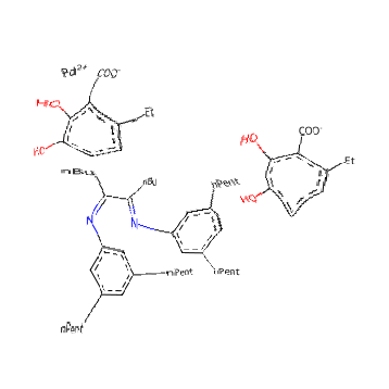 CCCCCc1cc(CCCCC)cc(N=C(CCCC)C(CCCC)=Nc2cc(CCCCC)cc(CCCCC)c2)c1.CCc1ccc(O)c(O)c1C(=O)[O-].CCc1ccc(O)c(O)c1C(=O)[O-].[Pd+2]